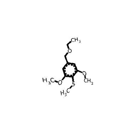 CCOCc1cc(OC)c(SC)c(OC)c1